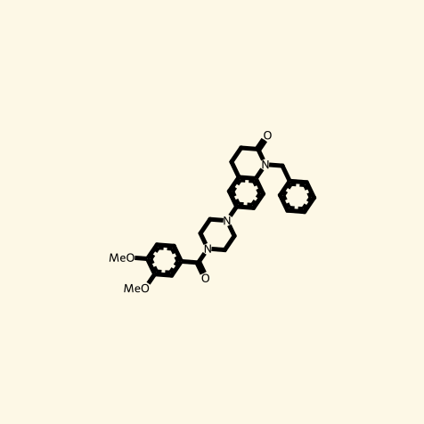 COc1ccc(C(=O)N2CCN(c3ccc4c(c3)CCC(=O)N4Cc3ccccc3)CC2)cc1OC